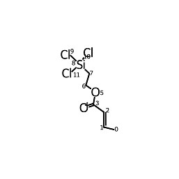 CC=CC(=O)OCC[Si](Cl)(Cl)Cl